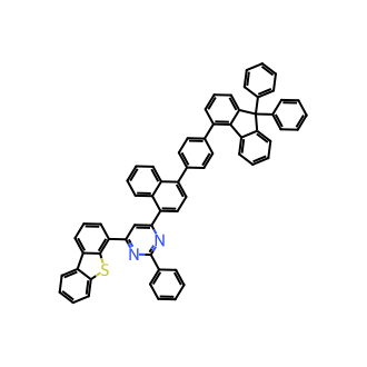 c1ccc(-c2nc(-c3ccc(-c4ccc(-c5cccc6c5-c5ccccc5C6(c5ccccc5)c5ccccc5)cc4)c4ccccc34)cc(-c3cccc4c3sc3ccccc34)n2)cc1